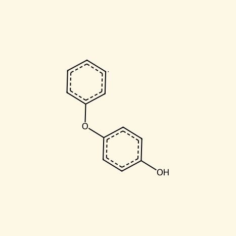 Oc1ccc(Oc2c[c]ccc2)cc1